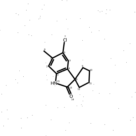 Cc1cc2c(cc1Cl)C1(CCCC1)C(=O)N2